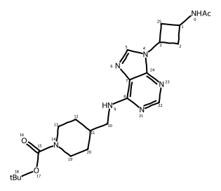 CC(=O)NC1CC(n2cnc3c(NCC4CCN(C(=O)OC(C)(C)C)CC4)ncnc32)C1